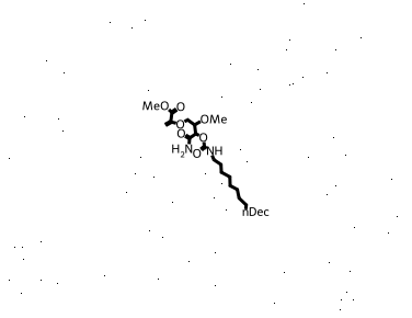 C=C(OCC(OC)C(OC(=O)NCCCCCCCCCCCCCCCCCC)C(N)=O)C(=O)OC